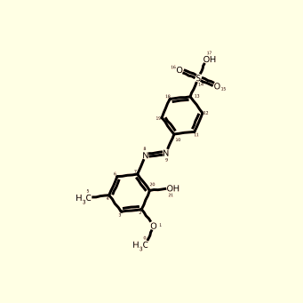 COc1cc(C)cc(N=Nc2ccc(S(=O)(=O)O)cc2)c1O